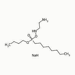 CCCCCCCCP(=O)(OCCCC)ONCCN.[NaH]